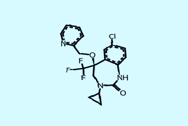 O=C1Nc2ccc(Cl)cc2[C@@](OCc2ccccn2)(C(F)(F)F)CN1C1CC1